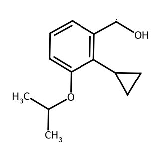 CC(C)Oc1cccc([CH]O)c1C1CC1